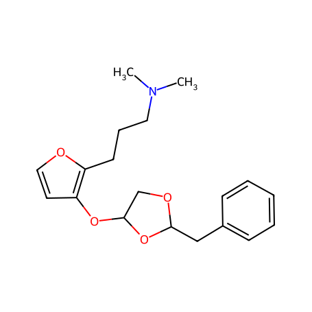 CN(C)CCCc1occc1OC1COC(Cc2ccccc2)O1